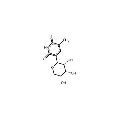 Cc1cn([C@@H]2OC[C@@H](O)[C@@H](O)[C@H]2O)c(=O)[nH]c1=O